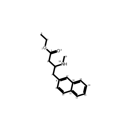 CCOC(=O)CC(Cc1ccc2ccccc2c1)NC